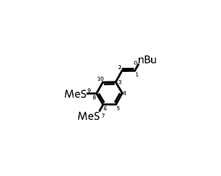 [CH2]CCC/C=C/c1ccc(SC)c(SC)c1